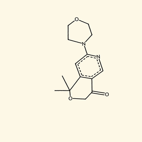 CC1(C)OCC(=O)c2cnc(N3CCOCC3)cc21